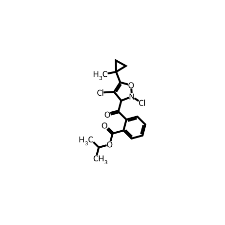 CC(C)OC(=O)c1ccccc1C(=O)C1C(Cl)=C(C2(C)CC2)ON1Cl